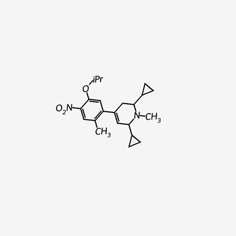 Cc1cc([N+](=O)[O-])c(OC(C)C)cc1C1=CC(C2CC2)N(C)C(C2CC2)C1